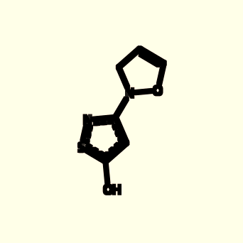 Oc1cc(N2CC=CO2)ns1